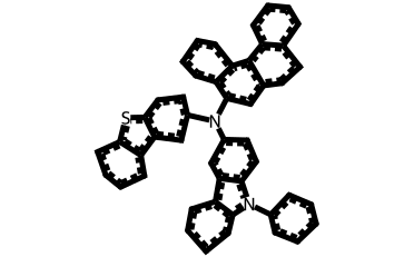 c1ccc(-n2c3ccccc3c3cc(N(c4ccc5sc6ccccc6c5c4)c4cc5ccc6ccccc6c5c5ccccc45)ccc32)cc1